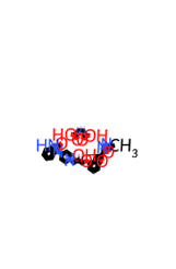 Cc1nnc(-c2cc3c(OC[C@@H](O)CN4CCC(n5c(=O)[nH]c6ccccc65)CC4)cccc3o2)o1.O=C(O)/C=C\C(=O)O